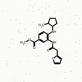 COC(=O)c1ccc(NC2CCCC2C)c(NC(=O)Cc2cccs2)c1